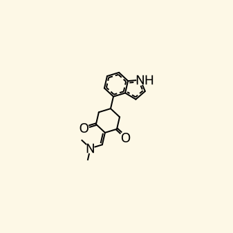 CN(C)C=C1C(=O)CC(c2cccc3[nH]ccc23)CC1=O